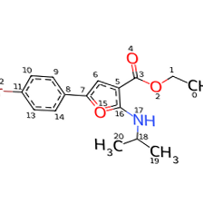 CCOC(=O)c1cc(-c2ccc(Br)cc2)oc1NC(C)C